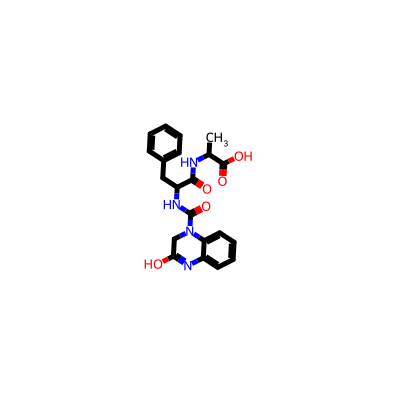 CC(NC(=O)C(Cc1ccccc1)NC(=O)N1CC(O)=Nc2ccccc21)C(=O)O